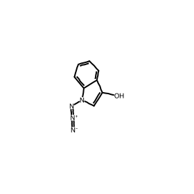 [N-]=[N+]=Nn1cc(O)c2ccccc21